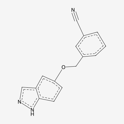 N#Cc1cccc(COc2ccc3[nH]ncc3c2)c1